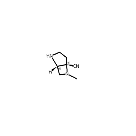 CN1C[C@@H]2NCC[C@@]21C#N